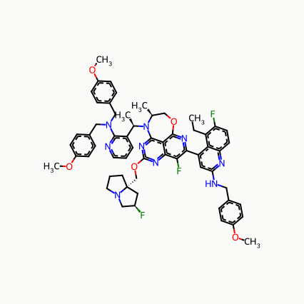 CCc1c(F)ccc2nc(NCc3ccc(OC)cc3)cc(-c3nc4c5c(nc(OC[C@@]67CCCN6C[C@H](F)C7)nc5c3F)N([C@H](C)c3cccnc3N(Cc3ccc(OC)cc3)Cc3ccc(OC)cc3)[C@@H](C)CO4)c12